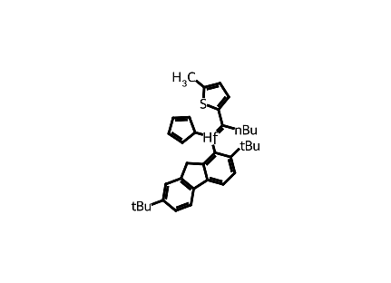 CCCC[C](c1ccc(C)s1)=[Hf]([c]1c(C(C)(C)C)ccc2c1Cc1cc(C(C)(C)C)ccc1-2)[CH]1C=CC=C1